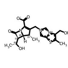 Cc1sc2cn(CC3=C(C(=O)[O-])N4C(=O)[C@H]([C@@H](C)O)[C@H]4[C@H]3C)c[n+]2c1CO